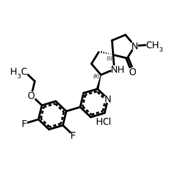 CCOc1cc(-c2ccnc([C@H]3CC[C@@]4(CCN(C)C4=O)N3)c2)c(F)cc1F.Cl